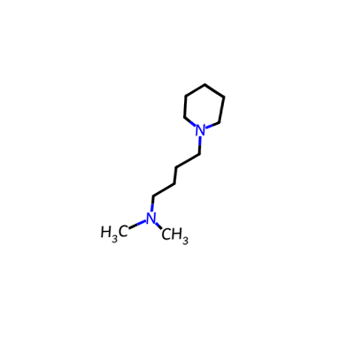 CN(C)CCCCN1CCCCC1